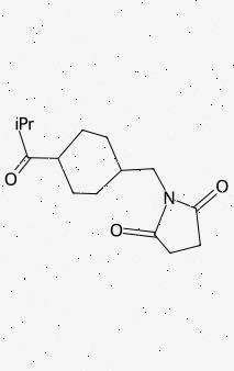 CC(C)C(=O)C1CCC(CN2C(=O)CCC2=O)CC1